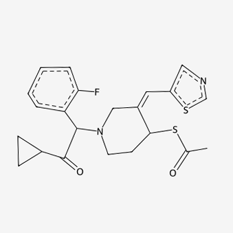 CC(=O)SC1CCN(C(C(=O)C2CC2)c2ccccc2F)CC1=Cc1cncs1